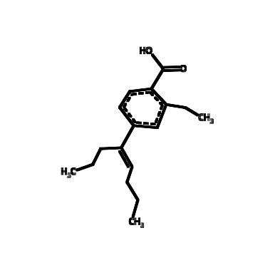 CCCC=C(CCC)c1ccc(C(=O)O)c(CC)c1